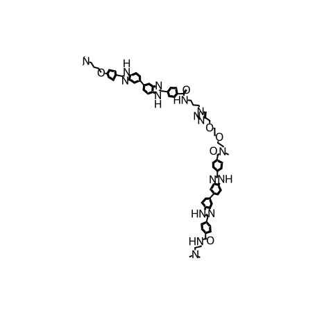 CN(C)CCCOc1ccc(-c2nc3cc(-c4ccc5[nH]c(-c6ccc(C(=O)NCCCn7cc(COCCOCCN(C)C(=O)c8ccc(-c9nc%10cc(-c%11ccc%12[nH]c(-c%13ccc(C(=O)NCCN(C)C)cc%13)nc%12c%11)ccc%10[nH]9)cc8)nn7)cc6)nc5c4)ccc3[nH]2)cc1